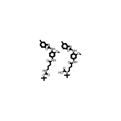 COc1cc(NC(=O)CCCN(C(=O)O)C(C)(C)C)ccc1Nc1nc2cc(C)ccc2o1.COc1cc(NC(=O)CCCNC(=O)OC(C)(C)C)ccc1Nc1nc2cc(C)ccc2o1